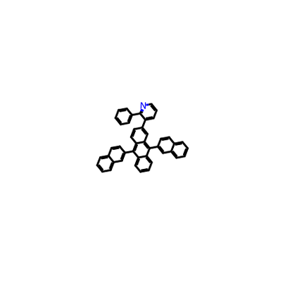 c1ccc(-c2ncccc2-c2ccc3c(-c4ccc5ccccc5c4)c4ccccc4c(-c4ccc5ccccc5c4)c3c2)cc1